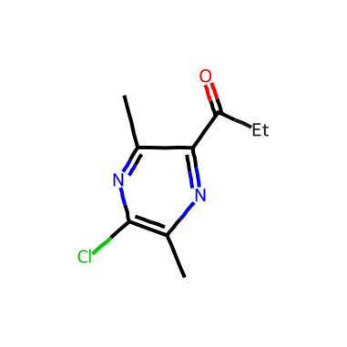 CCC(=O)c1nc(C)c(Cl)nc1C